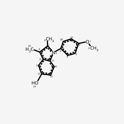 COc1ccc(-n2c(C)c(C)c3cc(O)ccc32)cc1